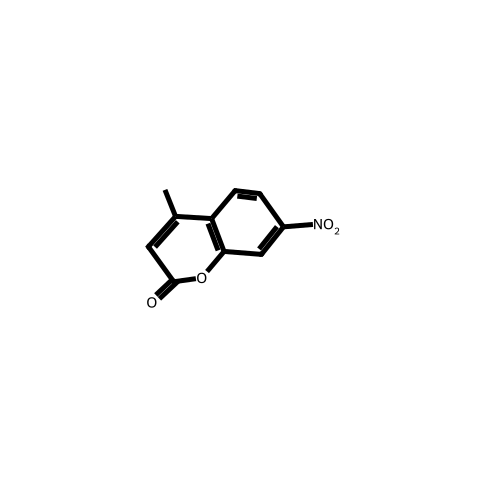 Cc1cc(=O)oc2cc([N+](=O)[O-])ccc12